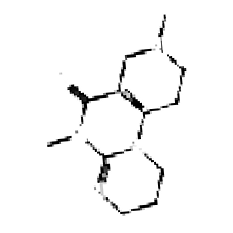 CN1CCC2=C(C1)C(=O)N(C)C1=NCCCN12